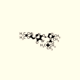 CC(C)(C)OC(=O)Cn1cnc(OC[C@@H]2COC(C)(C)N2C(=O)OC(C)(C)C)c(Br)c1=O